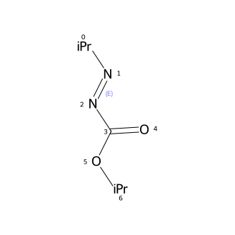 CC(C)/N=N/C(=O)OC(C)C